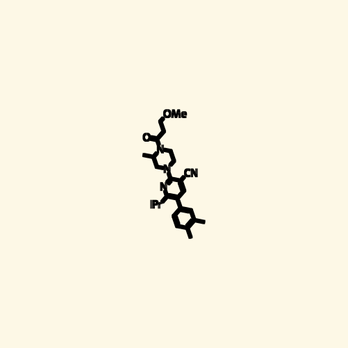 COCCC(=O)N1CCN(c2nc(C(C)C)c(-c3ccc(C)c(C)c3)cc2C#N)CC1C